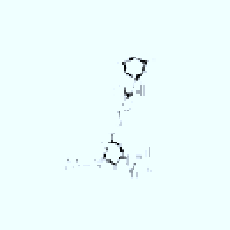 CCCN(CCC)c1cc(NC)nc(OCCOC(=O)Nc2ccccc2)c1